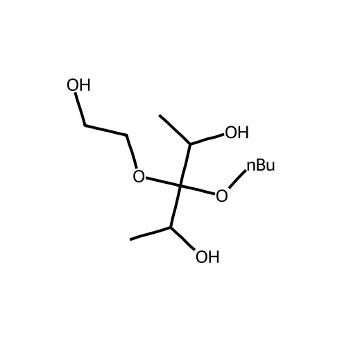 CCCCOC(OCCO)(C(C)O)C(C)O